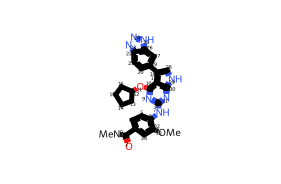 CNC(=O)c1ccc(Nc2nc(OC3CCCC3)c3c(-c4ccc5nn[nH]c5c4)c[nH]c3n2)c(OC)c1